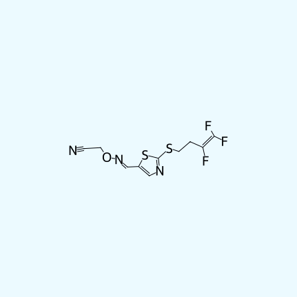 N#CCON=Cc1cnc(SCCC(F)=C(F)F)s1